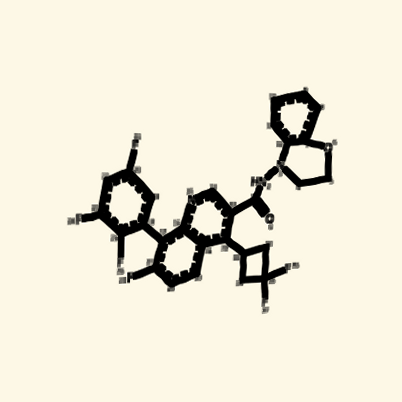 O=C(NN1CCOc2ccccc21)c1cnc2c(-c3cc(F)cc(F)c3F)c(F)ccc2c1C1CC(F)(F)C1